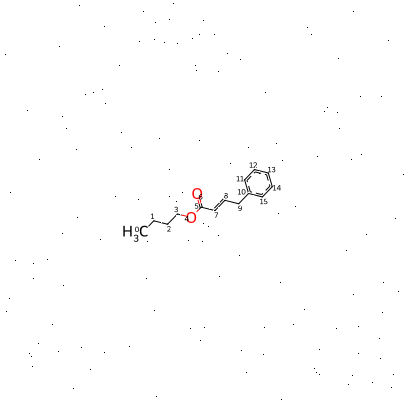 CCCCOC(=O)C=CCc1ccccc1